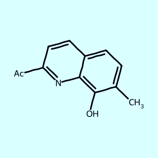 CC(=O)c1ccc2ccc(C)c(O)c2n1